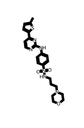 Cc1ccc(-c2ccnc(Nc3ccc(S(=O)(=O)NCCCN4CCOCC4)cc3)n2)s1